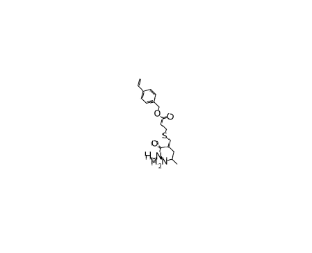 C=Cc1ccc(COC(=O)CCSCC(CC(C)N)C(N)=O)cc1